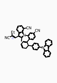 CC/C(C#N)=C\c1c(C)n(-c2cc(C#N)ccc2C2=CC=CCC2c2ccc(-n3c4ccccc4c4ccccc43)cc2)c2c(C#N)cccc12